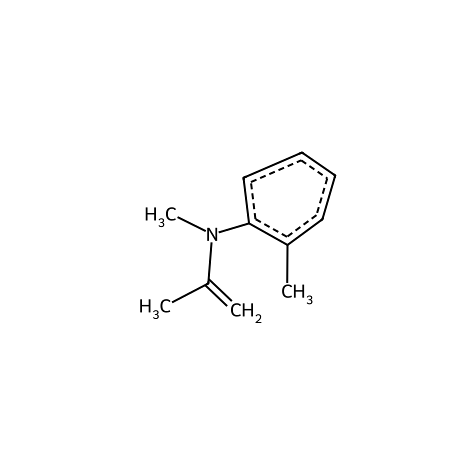 C=C(C)N(C)c1ccccc1C